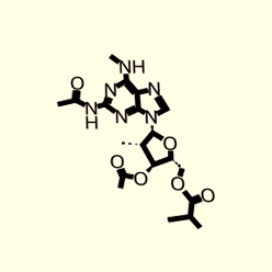 CNc1nc(NC(C)=O)nc2c1ncn2[C@@H]1O[C@H](COC(=O)C(C)C)[C@@H](OC(C)=O)[C@@H]1C